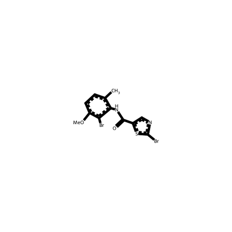 COc1ccc(C)c(NC(=O)c2cnc(Br)s2)c1Br